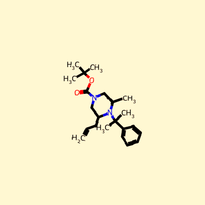 C=CCC1CN(C(=O)OC(C)(C)C)CC(C)N1C(C)(C)c1ccccc1